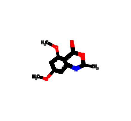 COc1cc(OC)c2c(=O)oc(C)nc2c1